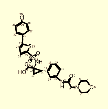 O=C(CN1CCOCC1)Nc1cccc([C@@H]2C[C@]2(NS(=O)(=O)c2ccc(-c3ccc(Cl)cc3)s2)C(=O)O)c1